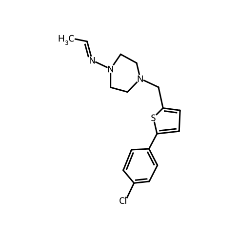 C/C=N/N1CCN(Cc2ccc(-c3ccc(Cl)cc3)s2)CC1